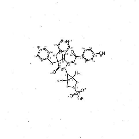 CCCS(=O)(=O)N1C[C@@H]2[C@H](C1)[C@H]2N1C(=O)C(Cc2ccncc2)(Cc2ccncc2)N/C1=C\C(=O)c1ccc(C#N)cc1